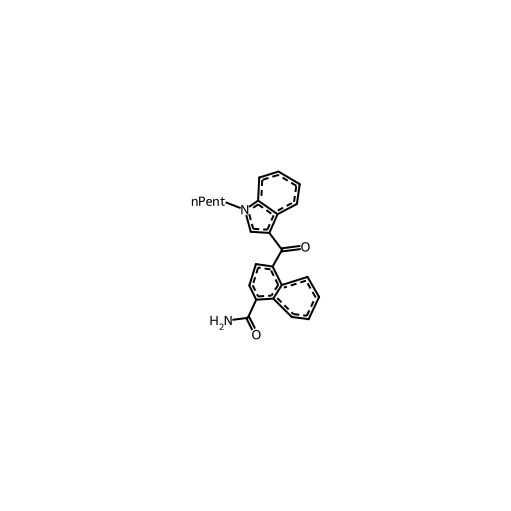 CCCCCn1cc(C(=O)c2ccc(C(N)=O)c3ccccc23)c2ccccc21